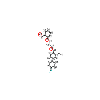 CCc1cc(-c2ccc(F)cc2)ccc1COCCCOc1ccccc1C=O